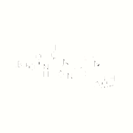 COC(C)c1cc(-c2noc([C@H](C)NC(=O)OC(C)(C)C)n2)ccn1